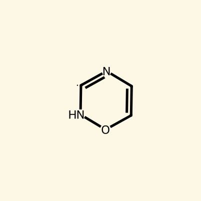 [C]1=NC=CON1